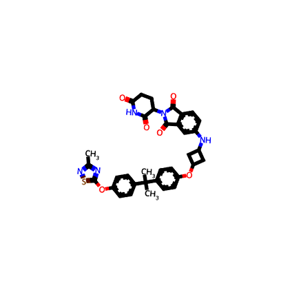 Cc1nsc(Oc2ccc(C(C)(C)c3ccc(OC4CC(Nc5ccc6c(c5)C(=O)N(C5CCC(=O)NC5=O)C6=O)C4)cc3)cc2)n1